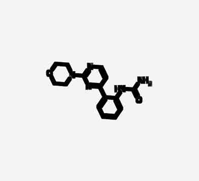 NC(=O)Nc1ccccc1-c1ccnc(N2CCOCC2)n1